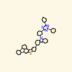 c1ccc(-c2nc(-c3ccccc3)nc(-c3cccc(-n4c5ccccc5c5cc(-c6ccc7sc8cc9c%10c(cccc%10c8c7c6)-c6ccccc6-9)ccc54)c3)n2)cc1